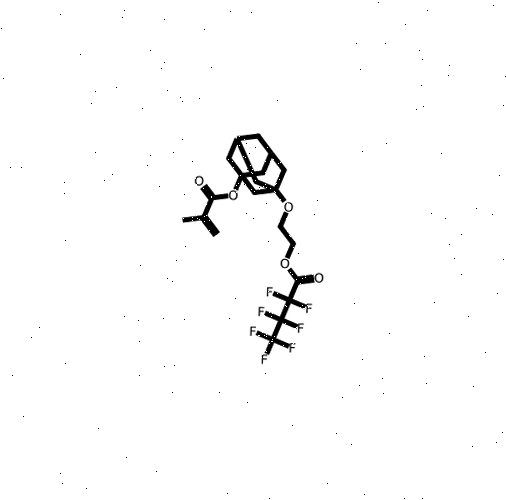 C=C(C)C(=O)OC12CC3CC(CC(OCCOC(=O)C(F)(F)C(F)(F)C(F)(F)F)(C3)C1)C2